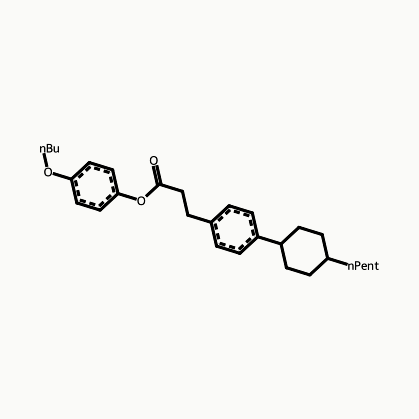 CCCCCC1CCC(c2ccc(CCC(=O)Oc3ccc(OCCCC)cc3)cc2)CC1